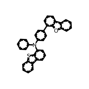 c1ccc(N(c2ccc(-c3cccc4c3oc3ccccc34)cc2)c2cccc3c2sc2ccccc23)cc1